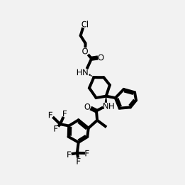 CC(C(=O)N[C@]1(c2ccccc2)CC[C@@H](NC(=O)OCCCl)CC1)c1cc(C(F)(F)F)cc(C(F)(F)F)c1